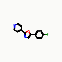 Fc1ccc(-c2cnc(-c3ccncc3)o2)cc1